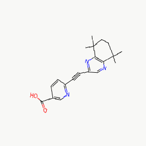 CC1(C)CCC(C)(C)c2nc(C#Cc3ccc(C(=O)O)cn3)cnc21